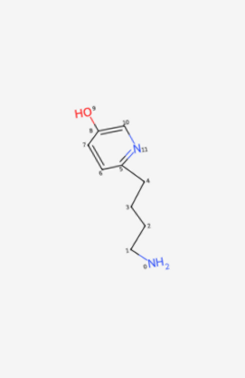 NCCCCc1ccc(O)cn1